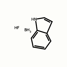 B.F.c1ccc2[nH]ccc2c1